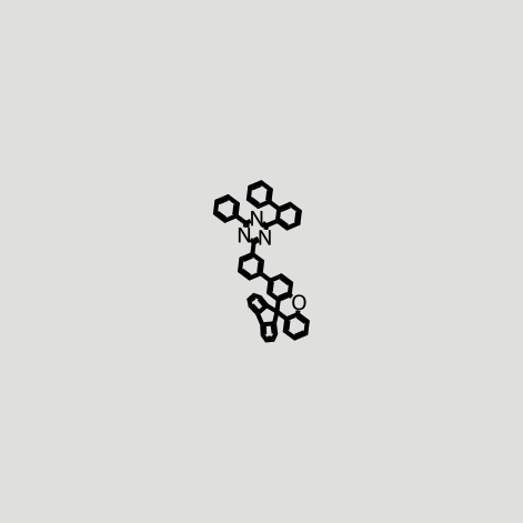 c1ccc(-c2nc(-c3cccc(-c4ccc5c(c4)C4(c6ccccc6O5)c5ccccc5-c5ccccc54)c3)nc(-c3ccccc3-c3ccccc3)n2)cc1